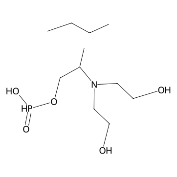 CC(CO[PH](=O)O)N(CCO)CCO.CCCC